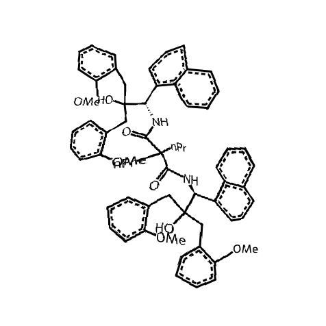 CCCC(CCC)(C(=O)N[C@@H](c1cccc2ccccc12)C(O)(Cc1ccccc1OC)Cc1ccccc1OC)C(=O)N[C@@H](c1cccc2ccccc12)C(O)(Cc1ccccc1OC)Cc1ccccc1OC